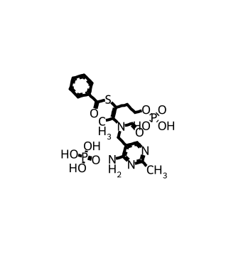 CC(=C(CCOP(=O)(O)O)SC(=O)c1ccccc1)N(C=O)Cc1cnc(C)nc1N.O=P(O)(O)O